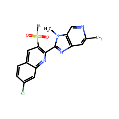 CCS(=O)(=O)c1cc2ccc(Cl)cc2nc1-c1nc2cc(C(F)(F)F)ncc2n1C